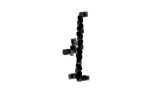 C=CC(=O)O.COC(O)COCCOCCOCCOCCOCCOCCOCCO